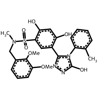 COc1cccc(CN(C)S(=O)(=O)c2cc(-c3nnc(O)n3-c3ccccc3C)c(O)cc2O)c1OC